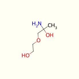 CC(N)(O)COCCO